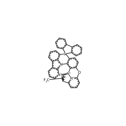 FC(F)(F)c1cc2n(n1)[N+]13c4c(ccc5c4-n4c6c(cccc6c6ccc[n+]1c64)[Si]51c4ccccc4-c4ccccc41)Oc1cccc-2[n+]13